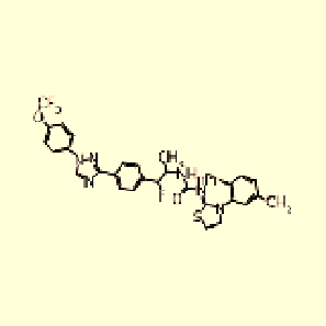 CCCc1ccc(C)cc1N1CCS/C1=N\C(=O)NC(C)C(F)c1ccc(-c2ncn(-c3ccc(OC(F)(F)F)cc3)n2)cc1